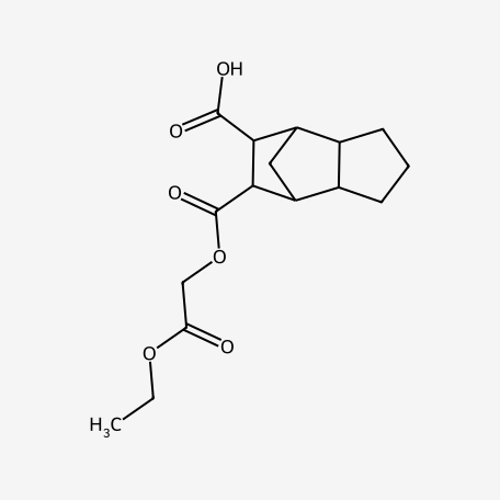 CCOC(=O)COC(=O)C1C2CC(C3CCCC32)C1C(=O)O